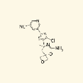 CC1(c2sc(-c3cncc(C#N)c3)cc2Cl)CC2(COC2)OC(N)=N1